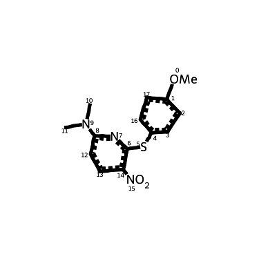 COc1ccc(Sc2nc(N(C)C)ccc2[N+](=O)[O-])cc1